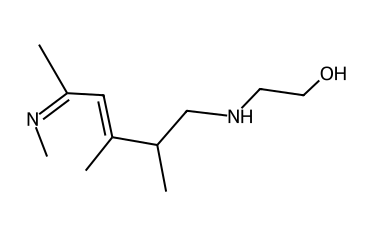 C/N=C(C)\C=C(/C)C(C)CNCCO